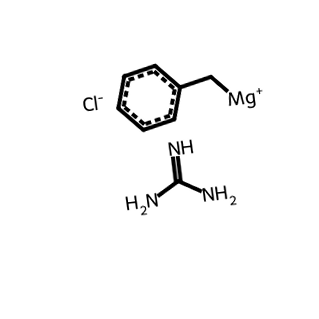 N=C(N)N.[Cl-].[Mg+][CH2]c1ccccc1